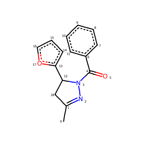 CC1=NN(C(=O)c2ccccc2)C(c2ccco2)C1